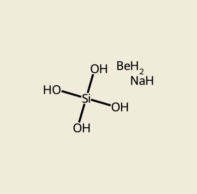 O[Si](O)(O)O.[BeH2].[NaH]